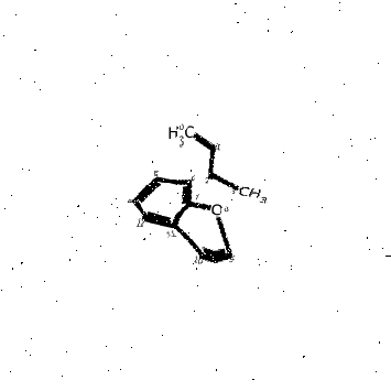 CCCC.c1ccc2occc2c1